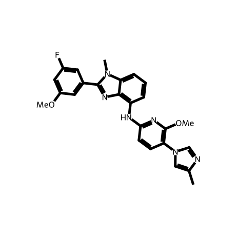 COc1cc(F)cc(-c2nc3c(Nc4ccc(-n5cnc(C)c5)c(OC)n4)cccc3n2C)c1